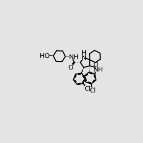 O=C(N[C@H]1CC[C@H](O)CC1)[C@@H]1NC2(CCCCC2)[C@@]2(C(=O)Nc3cc(Cl)ccc32)[C@H]1c1cccc(Cl)c1